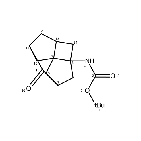 CC(C)(C)OC(=O)NC12CC3CC14CC(CC4C2)C3=O